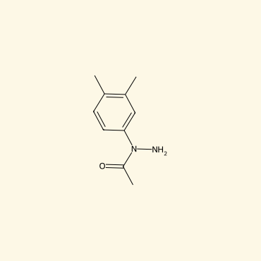 CC(=O)N(N)c1ccc(C)c(C)c1